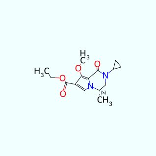 CCOC(=O)c1cn2c(c1OC)C(=O)N(C1CC1)C[C@@H]2C